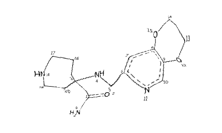 NC(=O)C1(NCc2cc3c(cn2)OCCO3)CCNCC1